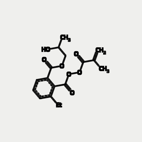 C=C(C)C(=O)OOC(=O)c1c(CC)cccc1C(=O)OCC(C)O